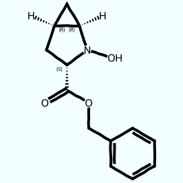 O=C(OCc1ccccc1)[C@@H]1C[C@H]2C[C@H]2N1O